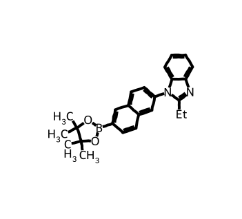 CCc1nc2ccccc2n1-c1ccc2cc(B3OC(C)(C)C(C)(C)O3)ccc2c1